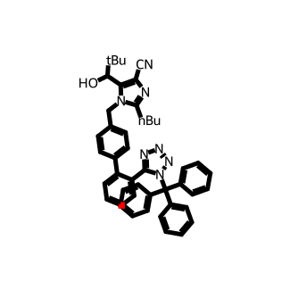 CCCCc1nc(C#N)c(C(O)C(C)(C)C)n1Cc1ccc(-c2ccccc2-c2nnnn2C(c2ccccc2)(c2ccccc2)c2ccccc2)cc1